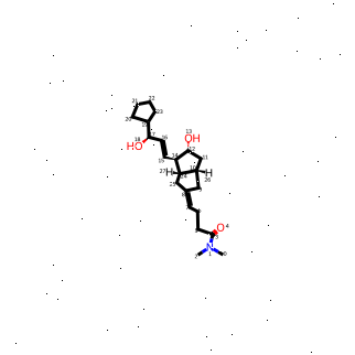 CN(C)C(=O)CC/C=C1\C[C@H]2C[C@@H](O)[C@H](/C=C/[C@@H](O)C3CCCC3)[C@H]2C1